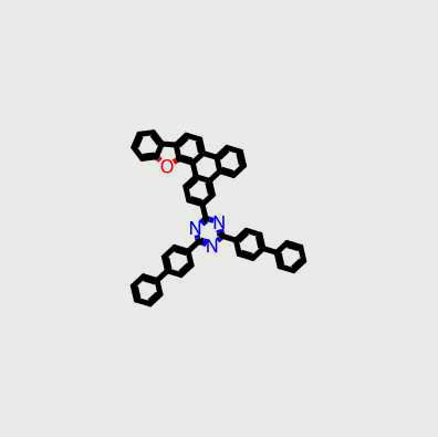 c1ccc(-c2ccc(-c3nc(-c4ccc(-c5ccccc5)cc4)nc(-c4ccc5c(c4)c4ccccc4c4ccc6c7ccccc7oc6c45)n3)cc2)cc1